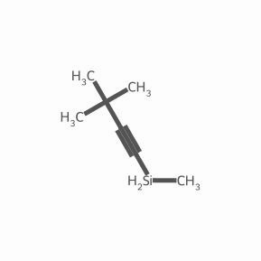 C[SiH2]C#CC(C)(C)C